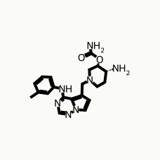 Cc1cccc(Nc2ncnn3ccc(CN4CC[C@@H](N)[C@H](OC(N)=O)C4)c23)c1